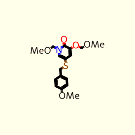 COCOc1cc(SCc2ccc(OC)cc2)cn(COC)c1=O